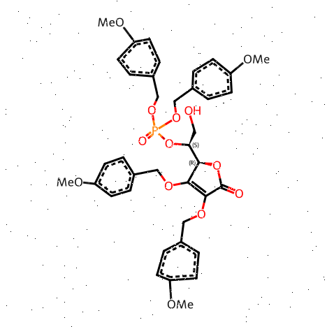 COc1ccc(COC2=C(OCc3ccc(OC)cc3)[C@@H]([C@H](CO)OP(=O)(OCc3ccc(OC)cc3)OCc3ccc(OC)cc3)OC2=O)cc1